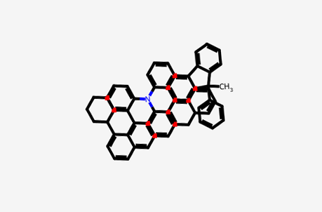 CC1(c2ccccc2)c2ccccc2-c2ccc(-c3ccccc3N(c3ccccc3C3=C4C=CC=CC4CC=C3)c3ccccc3-c3cccc4cccc(C5CCCCC5)c34)cc21